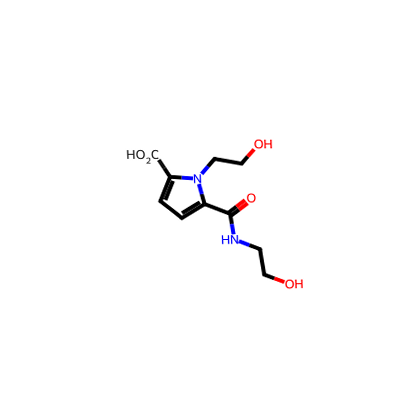 O=C(O)c1ccc(C(=O)NCCO)n1CCO